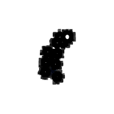 C1=CC2=C3C(=CC=C4C(c5ccc6c(c5)C5(c7ccccc7-c7ccccc75)c5cc(N(c7ccccc7)c7ccccc7)ccc5-6)=CC=C1C43)CCCCC2